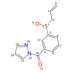 C=CC[S+]([O-])c1cccc(C(=O)n2cccn2)c1